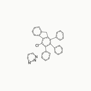 Clc1c2c(c(-c3ccccc3)c(-c3ccccc3)c1-c1ccccc1)Cc1ccccc1-2.c1cnnnc1